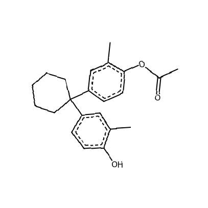 CC(=O)Oc1ccc(C2(c3ccc(O)c(C)c3)CCCCC2)cc1C